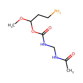 COC(CCP)OC(=O)NCNC(C)=O